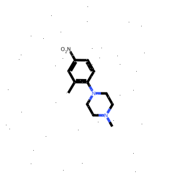 [CH2]c1cc([N+](=O)[O-])ccc1N1CCN(C)CC1